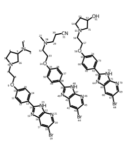 CN(C)C1CCN(CCOc2ccc(-c3nc4cc(Br)cnc4[nH]3)cc2)C1.CN(CCC#N)CCOc1ccc(-c2nc3cc(Br)cnc3[nH]2)cc1.OC1CCN(CCOc2ccc(-c3nc4cc(Br)cnc4[nH]3)cc2)C1